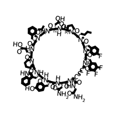 CCCC[C@H]1C(=O)N2CCC[C@@H]2C(=O)N[C@@H](CC(=O)O)C(=O)N[C@@H](C(C)C)C(=O)N(C)[C@@H](Cc2ccccc2)C(=O)N[C@@H](CCC(=O)O)C(=O)N2CCCC[C@@H]2C(=O)N[C@@H](Cc2c[nH]c3ccccc23)C(=O)N[C@@H](Cc2ccc(O)cc2)C(=O)N[C@@H](CC(N)=O)C(=O)N[C@H](C(=O)NCC(N)=O)CSCC(=O)N[C@@H](Cc2cc(F)c(F)c(F)c2)C(=O)N(C)[C@@H](Cc2ccc(F)cc2)C(=O)N1C